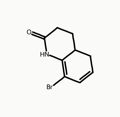 O=C1CCC2CC=CC(Br)=C2N1